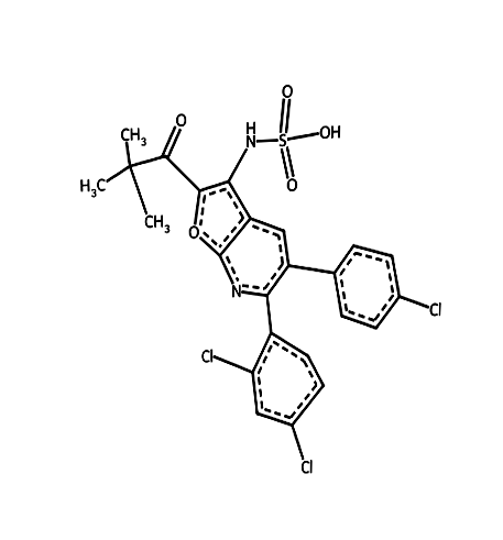 CC(C)(C)C(=O)c1oc2nc(-c3ccc(Cl)cc3Cl)c(-c3ccc(Cl)cc3)cc2c1NS(=O)(=O)O